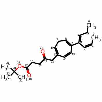 C/C=C\C(=C/CC)C1=CCC=C(CC(=O)CCC(=O)OC(C)(C)C)C=C1